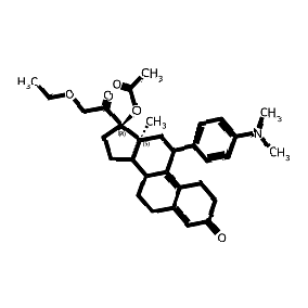 CCOCC(=O)[C@@]1(OC(C)=O)CCC2C3CCC4=CC(=O)CCC4=C3C(c3ccc(N(C)C)cc3)C[C@@]21C